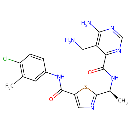 C[C@H](NC(=O)c1ncnc(N)c1CN)c1ncc(C(=O)Nc2ccc(Cl)c(C(F)(F)F)c2)s1